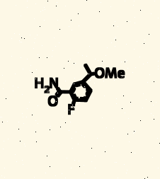 COC(C)c1ccc(F)c(C(N)=O)c1